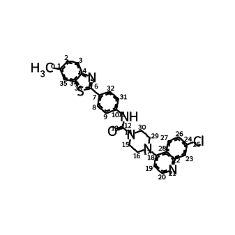 Cc1ccc2nc(-c3ccc(NC(=O)N4CCN(c5ccnc6cc(Cl)ccc56)CC4)cc3)sc2c1